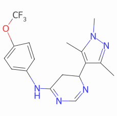 Cc1nn(C)c(C)c1C1CC(Nc2ccc(OC(F)(F)F)cc2)=NC=N1